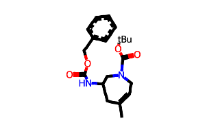 CC1=CCN(C(=O)OC(C)(C)C)CC(NC(=O)OCc2ccccc2)C1